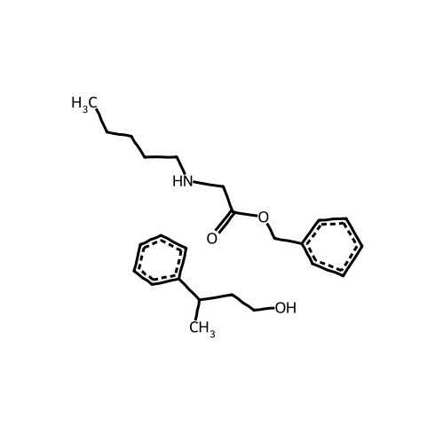 CC(CCO)c1ccccc1.CCCCCNCC(=O)OCc1ccccc1